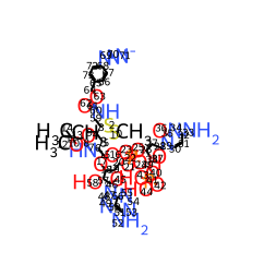 CSS[C@@H](CC[C@H](NC(=O)OC(C)(C)C)C(=O)OC1C(COP(=O)(O)O[C@H]2C[C@H](n3ccc(N)nc3=O)O[C@@H]2COP(=O)(O)O)OC(n2cnc3c(N)ncnc32)C1O)CNC(=O)OCc1ccc(N=[N+]=[N-])cc1